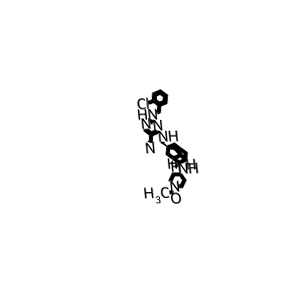 CC(=O)N1CCC(N[C@@H]2[C@@H]3CC4C[C@H]2C[C@@](CNc2nc(NCc5ccccc5Cl)ncc2C#N)(C4)C3)CC1